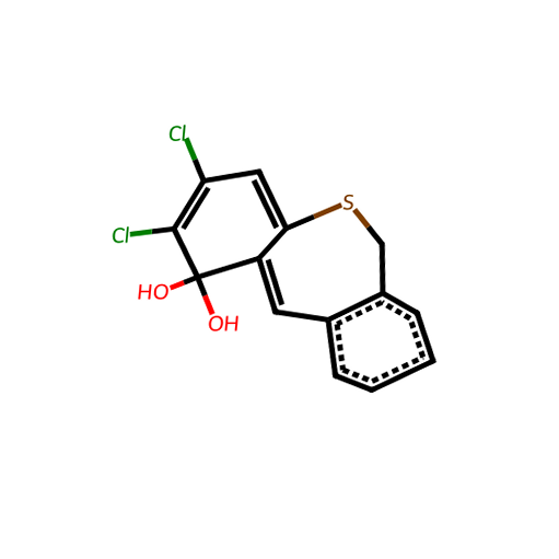 OC1(O)C2=Cc3ccccc3CSC2=CC(Cl)=C1Cl